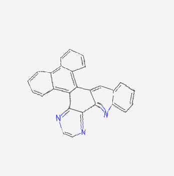 c1ccc2nc3c(cc2c1)c1c2ccccc2c2ccccc2c1c1nccnc31